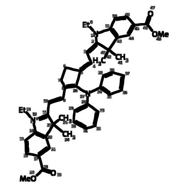 CCN1/C(=C/C=C2\CCC(/C=C/C3=[N+](CC)c4ccc(C(=O)OC)cc4C3(C)C)=C2N(c2ccccc2)c2ccccc2)C(C)(C)c2cc(C(=O)OC)ccc21